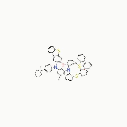 Cc1cc2c3c(c1)N1c4ccccc4Sc4ccccc4S(c4ccccc4)(c4ccccc4)c4ccc(c1c4)B3c1cc3sc4ccccc4c3cc1N2c1ccc(C2(C)CCCCC2)cc1